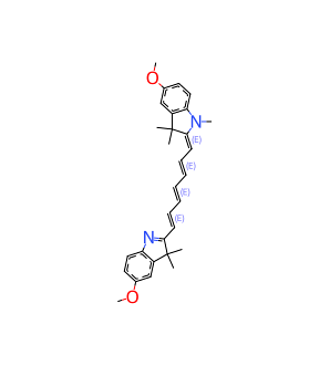 COc1ccc2c(c1)C(C)(C)C(/C=C/C=C/C=C/C=C1/N(C)c3ccc(OC)cc3C1(C)C)=N2